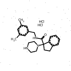 Cc1cc(C)cc(CNC(=O)C2(N3CCNCC3)CCc3ccccc32)c1.Cl.Cl